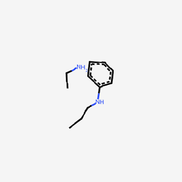 CCCNc1ccccc1.CCN